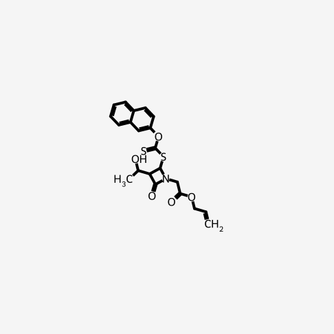 C=CCOC(=O)CN1C(=O)C(C(C)O)C1SC(=S)Oc1ccc2ccccc2c1